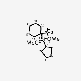 CO[Si](OC)(C1CCCC1)C1(C)CCCCC1